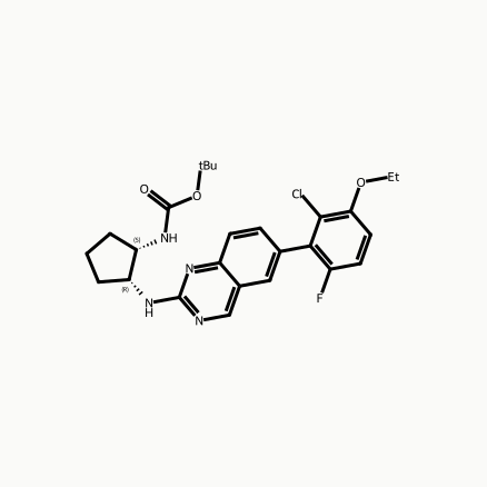 CCOc1ccc(F)c(-c2ccc3nc(N[C@@H]4CCC[C@@H]4NC(=O)OC(C)(C)C)ncc3c2)c1Cl